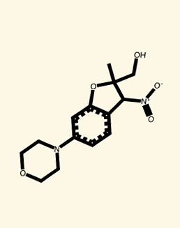 CC1(CO)Oc2cc(N3CCOCC3)ccc2C1[N+](=O)[O-]